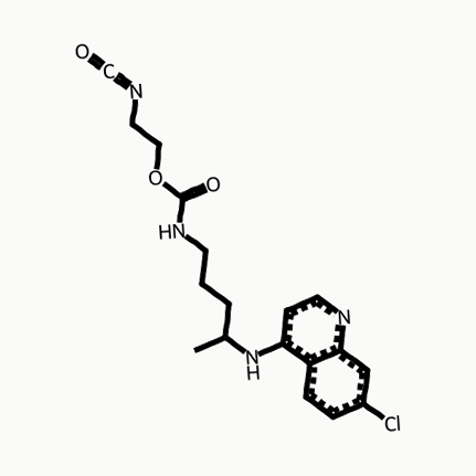 CC(CCCNC(=O)OCCN=C=O)Nc1ccnc2cc(Cl)ccc12